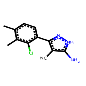 Cc1ccc(-c2n[nH]c(N)c2C#N)c(Cl)c1C